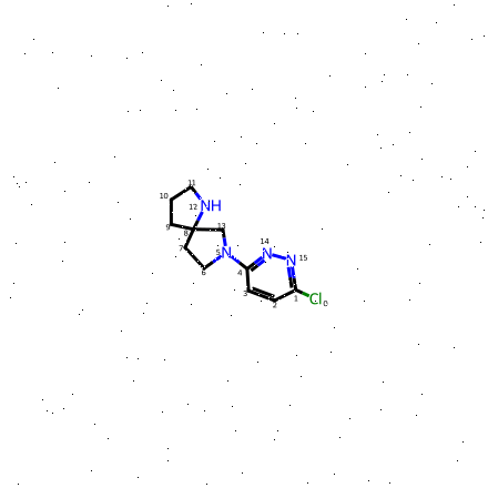 Clc1ccc(N2CCC3(CCCN3)C2)nn1